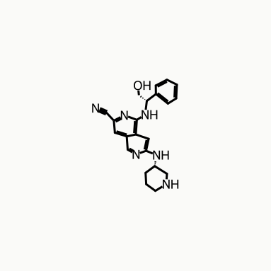 N#Cc1cc2cnc(N[C@H]3CCCNC3)cc2c(N[C@H](CO)c2ccccc2)n1